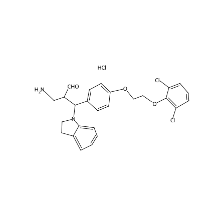 Cl.NCC(C=O)C(c1ccc(OCCOc2c(Cl)cccc2Cl)cc1)N1CCc2ccccc21